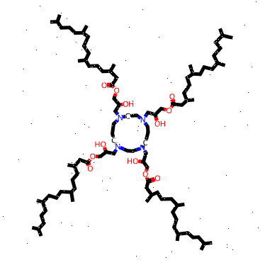 CC(C)CCCC(C)CCCC(C)CCCC(C)CC(=O)OCC(O)CN1CCCN(CC(O)COC(=O)CC(C)CCCC(C)CCCC(C)CCCC(C)C)CCN(CC(O)COC(=O)CC(C)CCCC(C)CCCC(C)CCCC(C)C)CCCN(CC(O)COC(=O)CC(C)CCCC(C)CCCC(C)CCCC(C)C)CC1